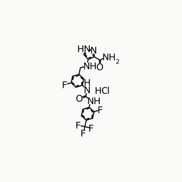 Cl.NC(=O)c1n[nH]cc1NCc1cc(F)cc(NC(=O)Nc2ccc(C(F)(F)F)cc2F)c1